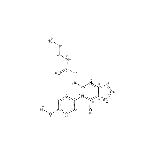 CCOc1ccc(-n2c(SCC(=O)NCCC#N)nc3cc[nH]c3c2=O)cc1